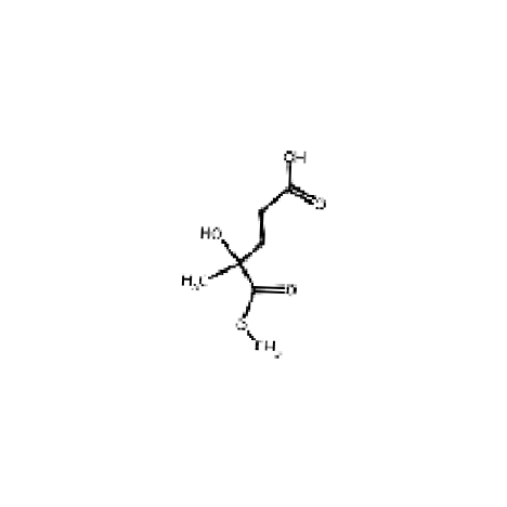 COC(=O)C(C)(O)CCC(=O)O